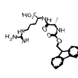 C[C@H](NC(=O)OCC1c2ccccc2-c2ccccc21)C(=O)N[C@@H](CCCNC(=N)N)C(=O)O